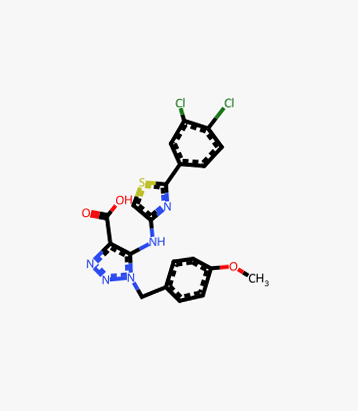 COc1ccc(Cn2nnc(C(=O)O)c2Nc2csc(-c3ccc(Cl)c(Cl)c3)n2)cc1